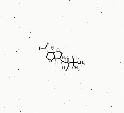 CC(C)(C)[Si](C)(C)O[C@@H]1CO[C@H]2[C@H]1OC[C@@H]2C(F)F